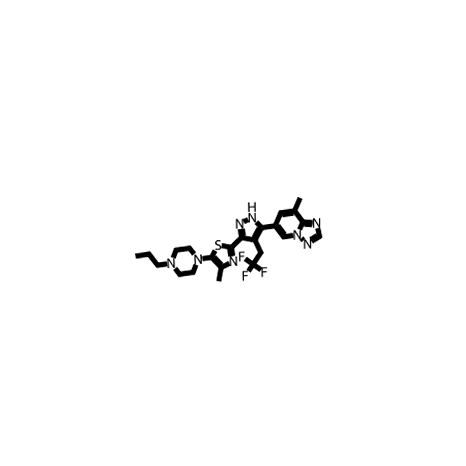 CCCN1CCN(c2sc(-c3n[nH]c(-c4cc(C)c5ncnn5c4)c3CC(F)(F)F)nc2C)CC1